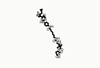 Cn1ncc(-c2nc(NC3CCC(NC(=O)CCCCCCNC(=O)NCc4scc5c4CN(C4CCC(=O)NC4=O)C5=O)CC3)ncc2Cl)c1CC1CC1